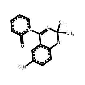 CC1(C)N=C(n2ccccc2=O)c2cc([N+](=O)[O-])ccc2O1